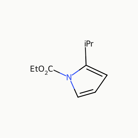 CCOC(=O)n1cccc1C(C)C